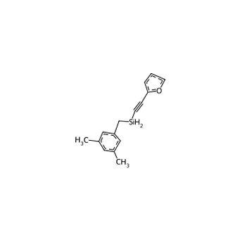 Cc1cc(C)cc(C[SiH2]C#Cc2ccco2)c1